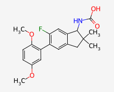 COc1ccc(OC)c(-c2cc3c(cc2F)C(NC(=O)O)C(C)(C)C3)c1